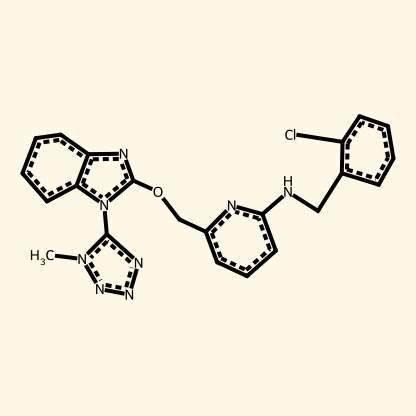 Cn1nnnc1-n1c(OCc2cccc(NCc3ccccc3Cl)n2)nc2ccccc21